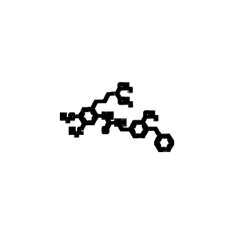 Cc1cc(CCCC(C)C)c(NC(=O)NCc2ccc(Cc3ccccc3)c(C)c2)cc1C